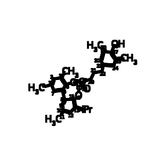 Cc1cc(C)c2c(c1)-c1cc(C)cc(C(C)C)c1OP(=O)(OCCCc1cc(C)c(O)c(C)c1)O2